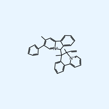 C=CC1(C)[n+]2ccccc2-c2ccccc2C1(C)C1c2ccccc2-c2cc(C)c(-c3ccccc3)c[n+]21